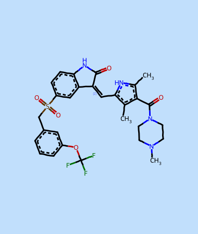 Cc1[nH]c(/C=C2\C(=O)Nc3ccc(S(=O)(=O)Cc4cccc(OC(F)(F)F)c4)cc32)c(C)c1C(=O)N1CCN(C)CC1